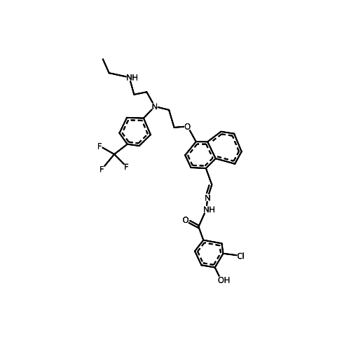 CCNCCN(CCOc1ccc(/C=N/NC(=O)c2ccc(O)c(Cl)c2)c2ccccc12)c1ccc(C(F)(F)F)cc1